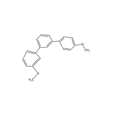 COc1ccc(-c2cccc(-c3cccc(OC)c3)c2)cc1